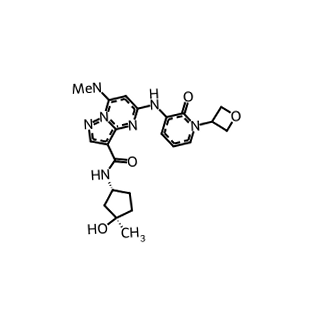 CNc1cc(Nc2cccn(C3COC3)c2=O)nc2c(C(=O)N[C@@H]3CC[C@@](C)(O)C3)cnn12